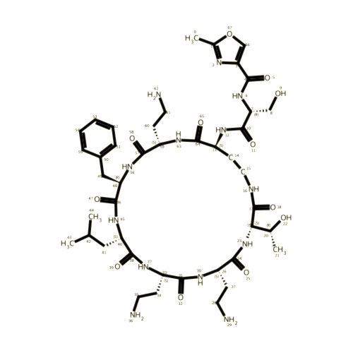 Cc1nc(C(=O)N[C@H](CO)C(=O)N[C@H]2CCNC(=O)[C@H]([C@@H](C)O)NC(=O)[C@H](CCN)NC(=O)[C@H](CCN)NC(=O)[C@H](CC(C)C)NC(=O)[C@@H](Cc3ccccc3)NC(=O)[C@H](CCN)NC2=O)co1